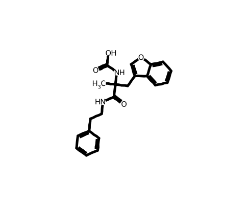 CC(Cc1coc2ccccc12)(NC(=O)O)C(=O)NCCc1ccccc1